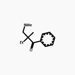 CCC(C)(CNC)C(=O)c1ccccc1